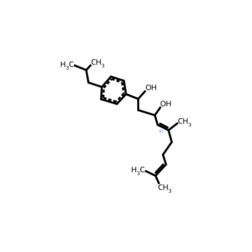 CC(C)=CCC/C(C)=C/C(O)CC(O)c1ccc(CC(C)C)cc1